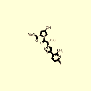 CNC(=O)[C@@H]1C[C@@H](O)CN1C(=O)[C@@H](n1cc(-c2ccc(F)nc2C)nn1)C(C)(C)C